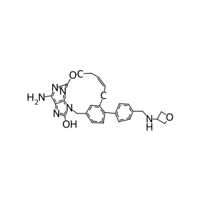 Nc1nc2nc3c1nc(O)n3Cc1ccc(-c3ccc(CNC4COC4)cc3)c(c1)C/C=C\CCO2